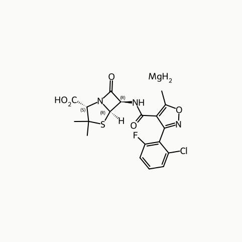 Cc1onc(-c2c(F)cccc2Cl)c1C(=O)N[C@@H]1C(=O)N2[C@@H]1SC(C)(C)[C@@H]2C(=O)O.[MgH2]